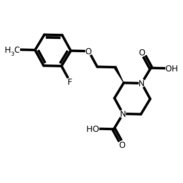 Cc1ccc(OCC[C@@H]2CN(C(=O)O)CCN2C(=O)O)c(F)c1